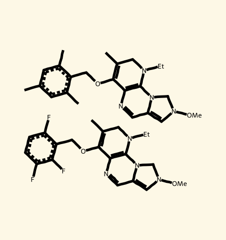 CCN1CC(C)=C(OCc2c(C)cc(C)cc2C)C2=C1N1CN(OC)C=C1C=N2.CCN1CC(C)=C(OCc2c(F)ccc(F)c2F)C2=C1N1CN(OC)C=C1C=N2